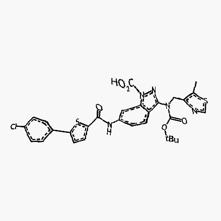 Cc1scnc1CN(C(=O)OC(C)(C)C)c1nn(C(=O)O)c2cc(NC(=O)c3ccc(-c4ccc(Cl)cc4)s3)ccc12